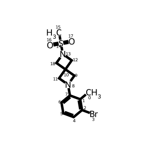 Cc1c(Br)cccc1N1CC2(C1)CN(S(C)(=O)=O)C2